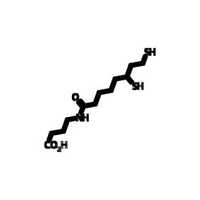 O=C(O)CCCNC(=O)CCCCC(S)CCS